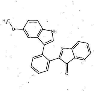 COc1ccc2[nH]cc(-c3ccccc3C3=Nc4ccccc4C3=O)c2c1